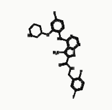 Cc1c(C(=O)NCc2cc(F)ccc2F)sc2ncnc(Nc3ccc(F)cc3OC3CCCNC3)c12